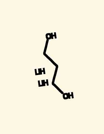 OCCCO.[LiH].[LiH]